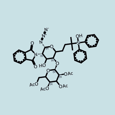 CC(=O)OCC1O[C@@H](O[C@@H]2C(CCC(C)(C)[Si](O)(c3ccccc3)c3ccccc3)O[C@@H](N=[N+]=[N-])[C@@H](N3C(=O)c4ccccc4C3=O)C2O)[C@@H](OC(C)=O)C(OC(C)=O)[C@H]1OC(C)=O